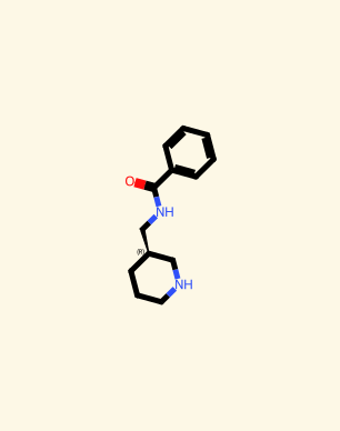 O=C(NC[C@@H]1CCCNC1)c1ccccc1